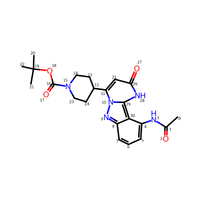 CC(=O)Nc1cccc2nn3c(C4CCN(C(=O)OC(C)(C)C)CC4)cc(=O)[nH]c3c12